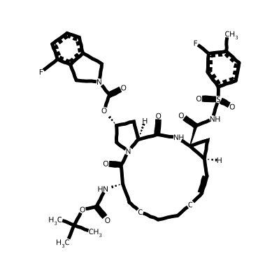 Cc1ccc(S(=O)(=O)NC(=O)[C@@]23C[C@H]2/C=C\CCCCC[C@H](NC(=O)OC(C)(C)C)C(=O)N2C[C@H](OC(=O)N4Cc5cccc(F)c5C4)C[C@H]2C(=O)N3)cc1F